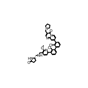 COc1nc(-c2cccc(-c3cccc(-c4ccn5c(=O)c(CN6CCCC6)cnc5c4)c3Cl)c2Cl)ccc1CNC[C@@H]1CCC(=O)N1